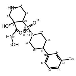 O=C(NO)C1(O)CNCCC1S(=O)(=O)N1CCC(c2cccc(F)c2)CC1